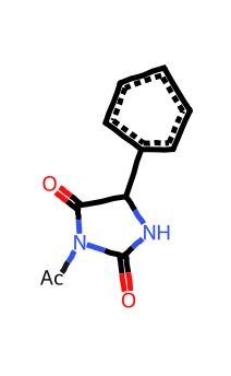 CC(=O)N1C(=O)NC(c2ccccc2)C1=O